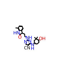 Cc1cccc2c1NC(=O)C2CCNc1ncc(C#N)c(N[C@@H]2CC[C@H](O)C(C)(C)C2)n1